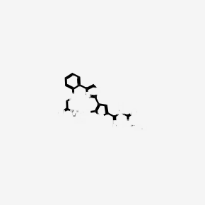 CSc1sc(C(=N)NC(=O)OC(C)(C)C)cc1-c1nc(-c2ccccc2OCC(=O)OC(C)(C)C)cs1